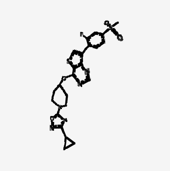 CS(=O)(=O)c1ccc(-c2csc3c(OC4CCN(c5nc(C6CC6)no5)CC4)ncnc23)c(F)c1